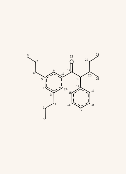 CCCc1[c]c(CCC)cc(C(=O)C(c2ccccc2)C(C)CC)c1